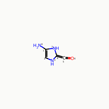 NC1=CNC(=C=O)N1